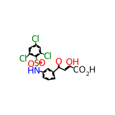 O=C(O)C(O)=CC(=O)c1cccc(NS(=O)(=O)c2c(Cl)cc(Cl)cc2Cl)c1